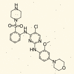 COc1cc(N2CCOCC2)ccc1Nc1ncc(Cl)c(Nc2ccccc2S(=O)(=O)N2CCNCC2)n1